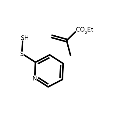 C=C(C)C(=O)OCC.SSc1ccccn1